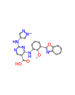 COc1c(Nc2nc(Nc3cnn(C)c3)ncc2C(=O)O)cccc1-c1nc2ccccc2o1